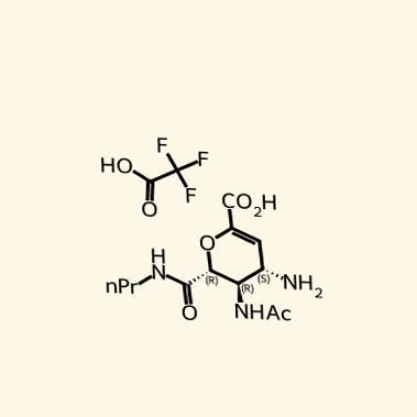 CCCNC(=O)[C@@H]1OC(C(=O)O)=C[C@H](N)[C@H]1NC(C)=O.O=C(O)C(F)(F)F